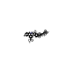 COC(=O)c1ccc(/C(C=C2C=CN(C)C=C2)=C\c2sc3ccc(S(=O)(=O)NCCCS(=O)(=O)[O-])cc3[n+]2C)cc1